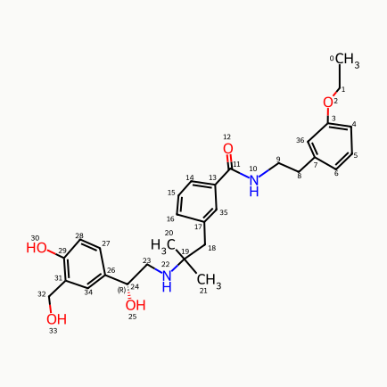 CCOc1cccc(CCNC(=O)c2cccc(CC(C)(C)NC[C@H](O)c3ccc(O)c(CO)c3)c2)c1